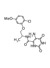 COc1ccc(Cl)c(OCC(C)NC(=O)c2[nH]c(=O)[nH]c(=O)c2N)c1